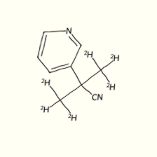 [2H]C([2H])([2H])C(C#N)(c1cccnc1)C([2H])([2H])[2H]